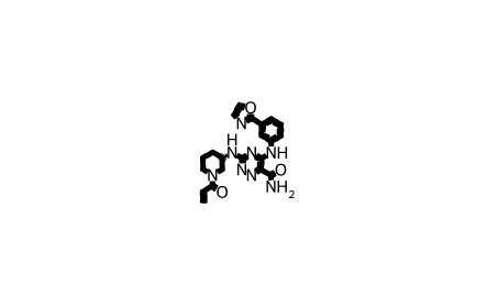 C=CC(=O)N1CCC[C@@H](Nc2nnc(C(N)=O)c(Nc3cccc(-c4ncco4)c3)n2)C1